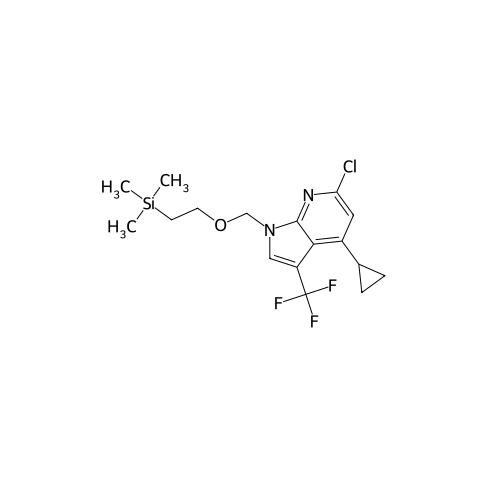 C[Si](C)(C)CCOCn1cc(C(F)(F)F)c2c(C3CC3)cc(Cl)nc21